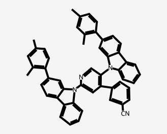 Cc1ccc(-c2ccc3c4ccccc4n(-c4cc(-c5cccc(C#N)c5)c(-n5c6ccccc6c6ccc(-c7ccc(C)cc7C)cc65)cn4)c3c2)c(C)c1